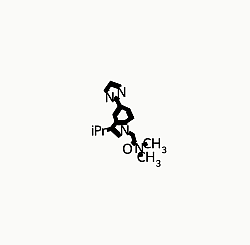 CC(C)c1cn(CC(=O)N(C)C)c2ccc(-c3ncccn3)cc12